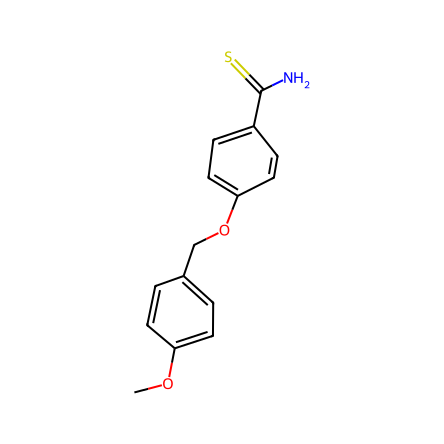 COc1ccc(COc2ccc(C(N)=S)cc2)cc1